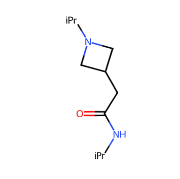 CC(C)NC(=O)CC1CN(C(C)C)C1